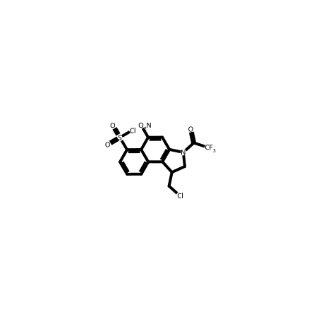 O=C(N1CC(CCl)c2c1cc([N+](=O)[O-])c1c(S(=O)(=O)Cl)cccc21)C(F)(F)F